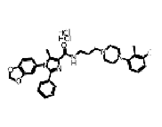 Cc1c(Cl)cccc1N1CCN(CCCNC(=O)c2nc(-c3ccccc3)n(-c3ccc4c(c3)OCO4)c2C)CC1.Cl.Cl